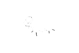 C=CC(=O)NCCC(=C)C(=O)OC1(C(C)C)C2CC3CC(C2)CC1C3